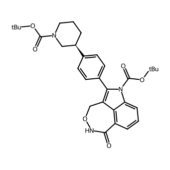 CC(C)(C)OC(=O)N1CCC[C@@H](c2ccc(-c3c4c5c(cccc5n3C(=O)OC(C)(C)C)C(=O)NOC4)cc2)C1